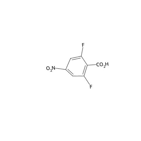 O=C(O)c1c(F)cc([N+](=O)[O-])cc1F